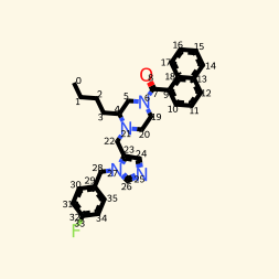 CCCCC1CN(C(=O)c2cccc3ccccc23)CCN1Cc1cncn1Cc1ccc(F)cc1